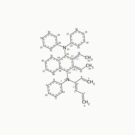 C=C/C=C(\C=C)N(c1ccccc1)c1c(=C/C)/c(=C\C)c(N(c2ccccc2)c2ccccc2)c2ccccc12